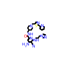 N#Cc1c(N)cc(C(=O)NCC2CCN(Cc3cnc(-c4ccccn4)s3)CC2)nc1NCCCn1ccnc1